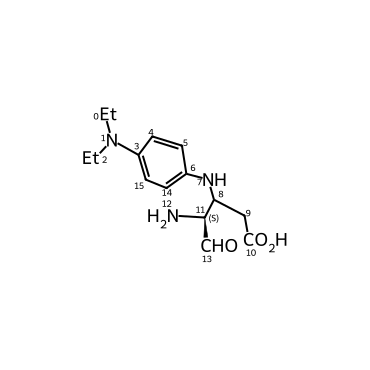 CCN(CC)c1ccc(NC(CC(=O)O)[C@H](N)C=O)cc1